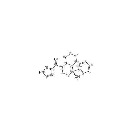 O=C(c1nc[nH]n1)N1CC[C@@](O)(c2ccccc2)[C@@H]2CCCCC21